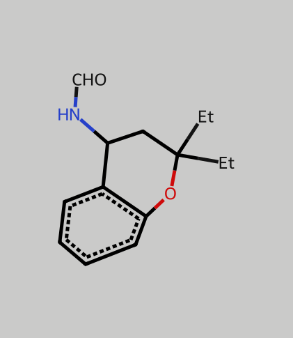 CCC1(CC)CC(NC=O)c2ccccc2O1